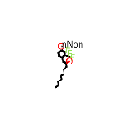 C=CCC/C=C/CCC1=Cc2ccc(OCCCCCCCCC)c(F)c2C(F)(F)O1